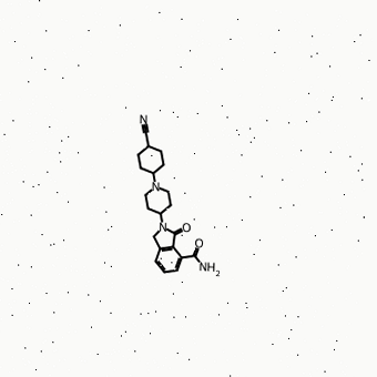 N#CC1CCC(N2CCC(N3Cc4cccc(C(N)=O)c4C3=O)CC2)CC1